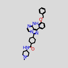 CN1CCC(NC(=O)C2CCC(c3nc(-c4cccc(OCc5ccccc5)c4)c4c(N)nccn34)CC2)CC1